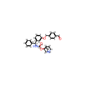 O=Cc1ccc(COc2cccc(C(NC(=O)OC3CN4CCC3CC4)c3ccccc3)c2)cc1